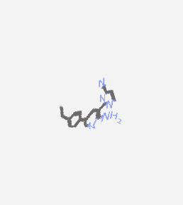 CCc1ccc(-c2cnc(N)c(-c3nccc(C#N)n3)c2)cc1